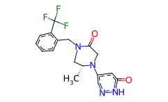 C[C@@H]1CN(Cc2ccccc2C(F)(F)F)C(=O)CN1c1cn[nH]c(=O)c1